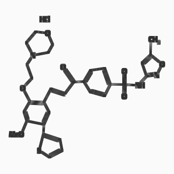 COc1cc(OCCN2CCOCC2)c(C=CC(=O)c2ccc(S(=O)(=O)Nc3cc(C)on3)cc2)cc1-c1cccs1.Cl